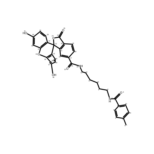 [CH2]c1ccc(C(=O)NCCCCCCNC(=O)c2ccc3c(c2)C2(OC3=O)c3ccc(O)cc3Oc3cc(O)ccc32)cc1